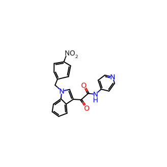 O=C(Nc1ccncc1)C(=O)c1cn(Cc2ccc([N+](=O)[O-])cc2)c2ccccc12